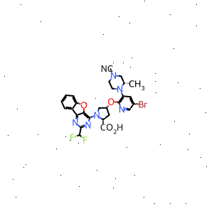 C[C@H]1CN(C#N)CCN1c1cc(Br)cnc1O[C@H]1C[C@@H](C(=O)O)N(c2nc(C(F)F)nc3c2oc2ccccc23)C1